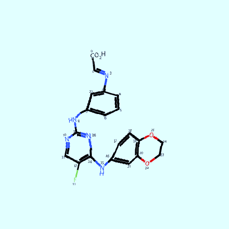 O=C(O)/C=N/c1cccc(Nc2ncc(F)c(Nc3ccc4c(c3)OCCO4)n2)c1